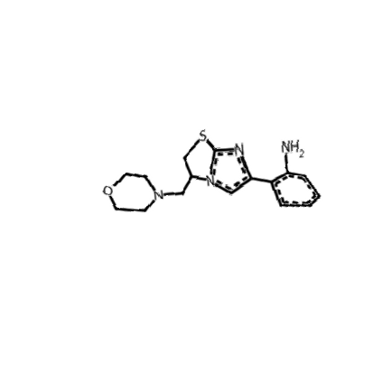 Nc1ccccc1-c1cn2c(n1)SCC2CN1CCOCC1